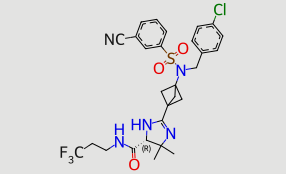 CC1(C)N=C(C23CC(N(Cc4ccc(Cl)cc4)S(=O)(=O)c4cccc(C#N)c4)(C2)C3)N[C@H]1C(=O)NCCC(F)(F)F